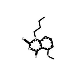 CCCCn1c(=O)oc(=O)c2c(OC)cccc21